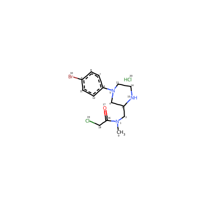 CN(CC1CN(c2ccc(Br)cc2)CCN1)C(=O)CCl.Cl